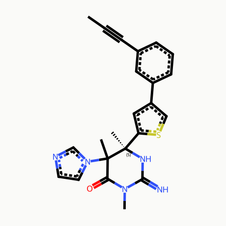 CC#Cc1cccc(-c2csc([C@@]3(C)NC(=N)N(C)C(=O)C3(C)n3ccnc3)c2)c1